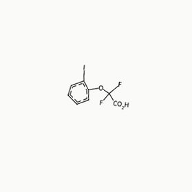 O=C(O)C(F)(F)Oc1ccccc1I